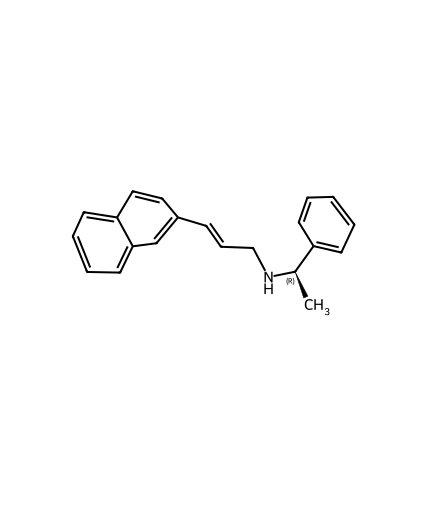 C[C@@H](NCC=Cc1ccc2ccccc2c1)c1ccccc1